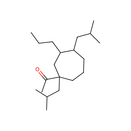 CCCC1CC(CC(C)C)(C(C)=O)CCCC1CC(C)C